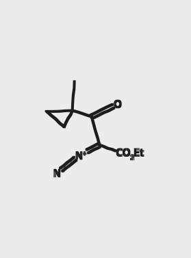 CCOC(=O)C(=[N+]=[N-])C(=O)C1(C)CC1